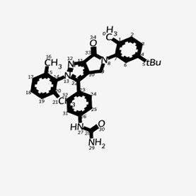 Cc1ccc(C(C)(C)C)cc1N1Cc2c(nn(-c3c(C)cccc3C)c2-c2ccc(NC(N)=O)cc2)C1=O